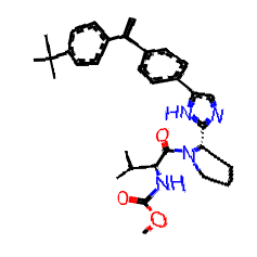 C=C(c1ccc(-c2cnc([C@@H]3CCCN3C(=O)[C@@H](NC(=O)OC)C(C)C)[nH]2)cc1)c1ccc(C(C)(C)C)cc1